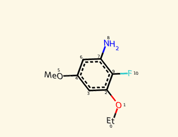 CCOc1cc(OC)cc(N)c1F